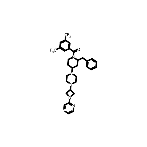 O=C(c1cc(C(F)(F)F)cc(C(F)(F)F)c1)N1CCC(N2CCN(C3CN(c4cnccn4)C3)CC2)CC1Cc1ccccc1